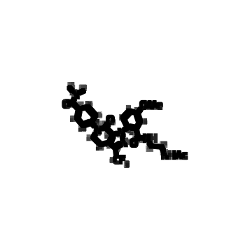 COc1ccc(-n2nc(C(F)(F)F)c3c2C(=O)N(c2ccc(C(=O)N(C)C)cc2)CC3)c(C(=O)NCCNC(C)=O)c1